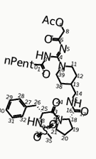 CCCCCC(=O)N/C(=N\C(=O)COC(C)=O)N1CCC(CNC(=O)[C@@H]2CCCN2C(=O)[C@@H](Cc2ccccc2)NS(C)(=O)=O)CC1